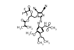 C=C(C)C(=O)OCC(Cn1c(/N=N/c2cc(OC)c(N(CC)CC)cc2NS(C)(=O)=O)nc(C#N)c1C#N)OC(=O)C(F)(F)F